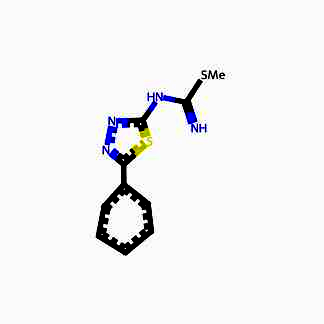 CSC(=N)Nc1nnc(-c2ccccc2)s1